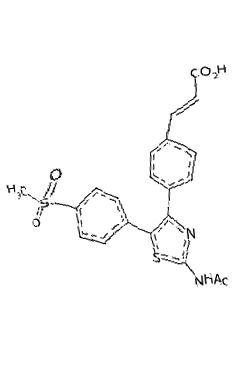 CC(=O)Nc1nc(-c2ccc(C=CC(=O)O)cc2)c(-c2ccc(S(C)(=O)=O)cc2)s1